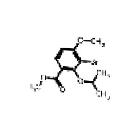 COC(=O)c1ccc(OC)c(Br)c1OC(C)C